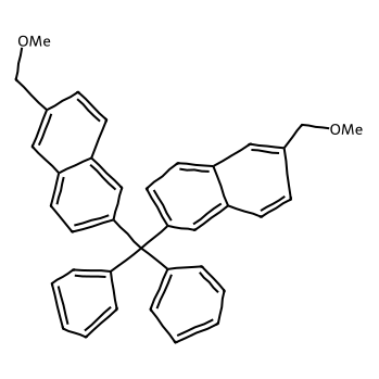 COCc1ccc2cc(C(c3ccccc3)(c3ccccc3)c3ccc4cc(COC)ccc4c3)ccc2c1